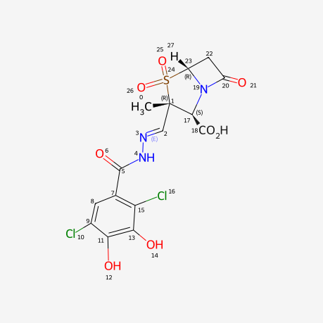 C[C@]1(/C=N/NC(=O)c2cc(Cl)c(O)c(O)c2Cl)[C@H](C(=O)O)N2C(=O)C[C@H]2S1(=O)=O